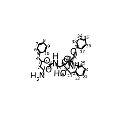 NCCC(Cc1ccccc1)OC(=O)NCC(O)C(O)(Cc1ccccc1)NC(=O)COc1ccccc1